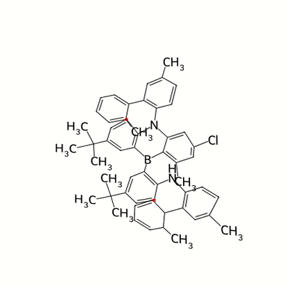 Cc1ccc(N2c3ccc(C(C)(C)C)cc3B(c3cc(C(C)(C)C)ccc3Nc3ccc(C)cc3C3C=CC=CC3C)c3c(C)cc(Cl)cc32)c(-c2ccccc2C)c1